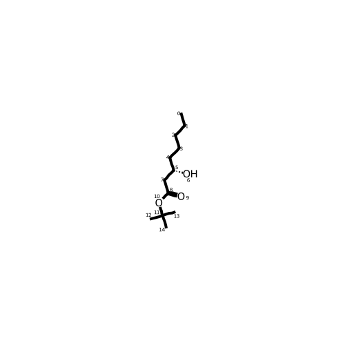 CCCCC[C@H](O)CC(=O)OC(C)(C)C